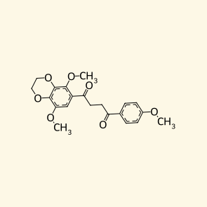 COc1ccc(C(=O)CCC(=O)c2cc(OC)c3c(c2OC)OCCO3)cc1